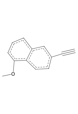 C#Cc1ccc2c(OC)cccc2c1